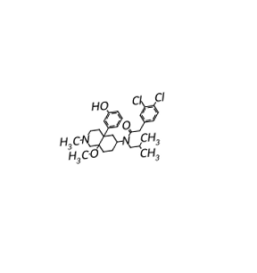 COC12CCC(N(CC(C)C)C(=O)Cc3ccc(Cl)c(Cl)c3)CC1(c1cccc(O)c1)CCN(C)C2